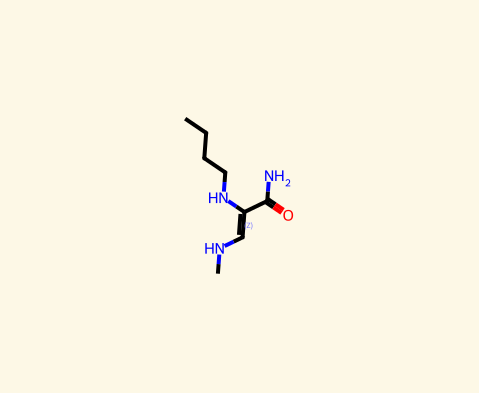 CCCCN/C(=C\NC)C(N)=O